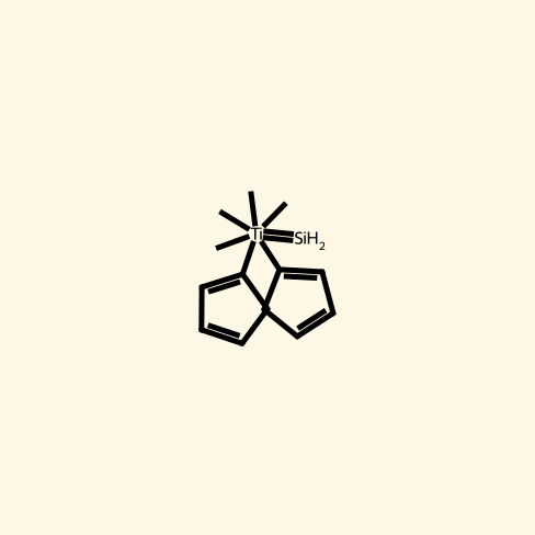 [CH3][Ti]([CH3])([CH3])([CH3])(=[SiH2])([C]1=CC=CC1)[C]1=CC=CC1